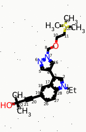 CCn1cc(-c2cnn(COCCS(C)(C)C)c2)c2cc(C#CC(C)(C)O)ccc21